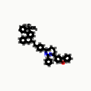 CC1(C)c2ccccc2-c2c1ccc1c2-c2ccccc2CC1CCc1ccc(C2=C\CCC/C(c3ccc4oc5ccccc5c4c3)=N/C(c3ccccc3)=N\2)cc1